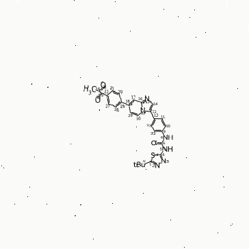 CC(C)(C)c1nnc(NC(=O)Nc2ccc(-c3cnc4cc(-c5ccc(S(C)(=O)=O)cc5)ccn34)cc2)s1